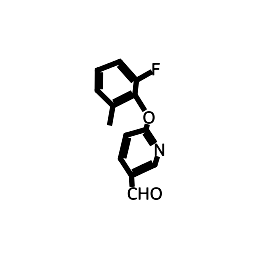 Cc1cccc(F)c1Oc1ccc(C=O)cn1